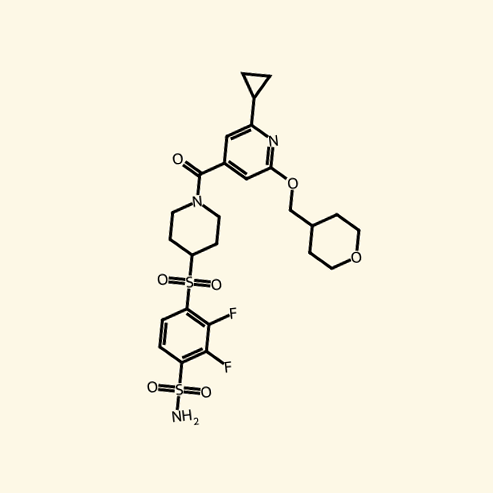 NS(=O)(=O)c1ccc(S(=O)(=O)C2CCN(C(=O)c3cc(OCC4CCOCC4)nc(C4CC4)c3)CC2)c(F)c1F